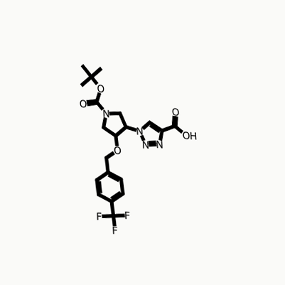 CC(C)(C)OC(=O)N1CC(OCc2ccc(C(F)(F)F)cc2)C(n2cc(C(=O)O)nn2)C1